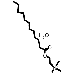 CCCCCCCCCCCC(=O)OCC[N+](C)(C)C.O